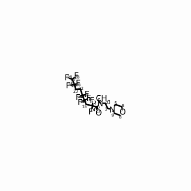 CN(CCN1CCOCC1)C(=O)C(F)(F)CC(F)(F)C(F)(F)CCC(F)(F)C(F)F